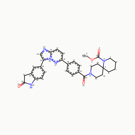 CC(C)(C)OC(=O)N1CCCCC12CCN(C(=O)c1ccc(-c3ccc4ncc(-c5ccc6c(c5)CC(=O)N6)n4n3)cc1)CC2